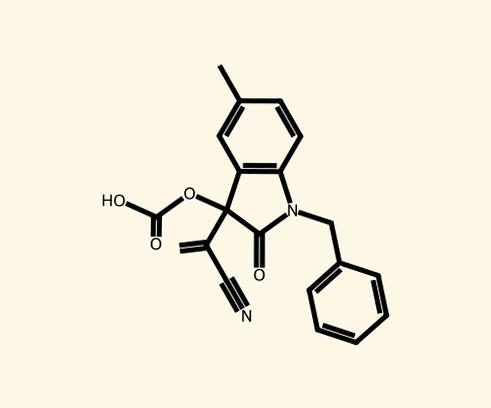 C=C(C#N)C1(OC(=O)O)C(=O)N(Cc2ccccc2)c2ccc(C)cc21